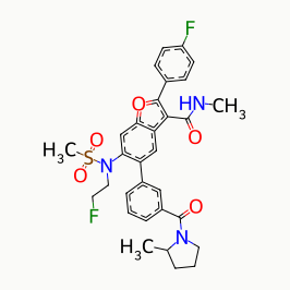 CNC(=O)c1c(-c2ccc(F)cc2)oc2cc(N(CCF)S(C)(=O)=O)c(-c3cccc(C(=O)N4CCCC4C)c3)cc12